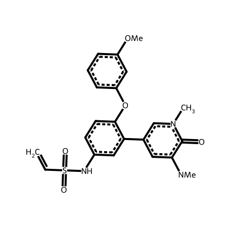 C=CS(=O)(=O)Nc1ccc(Oc2cccc(OC)c2)c(-c2cc(NC)c(=O)n(C)c2)c1